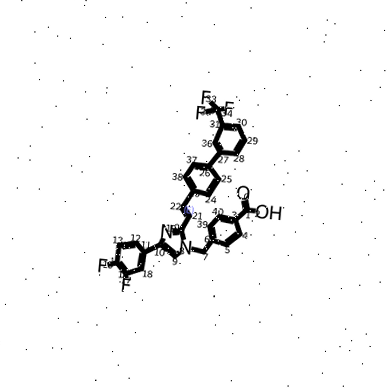 O=C(O)c1ccc(Cn2cc(-c3ccc(F)c(F)c3)nc2/C=C/c2ccc(-c3cccc(C(F)(F)F)c3)cc2)cc1